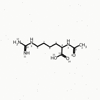 CC(=O)NC(CCCCNC(=N)N)C(=O)O